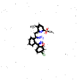 Cc1ccc(S(C)(=O)=O)nc1CC(N)c1ccccc1-c1noc2cc(Cl)ccc12